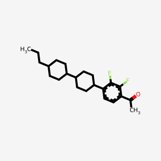 CCCC1CCC(C2CCC(c3ccc(C(C)=O)c(F)c3F)CC2)CC1